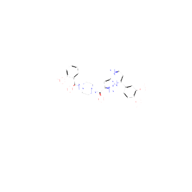 COc1ccc(-c2ccnc3cc(C(=O)N4CCN(C(=O)c5ccccc5OC)[C@@H](C)C4)nn23)cc1OC